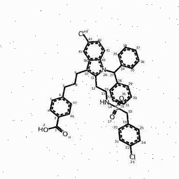 O=C(O)c1ccc(CCCc2c(CCNS(=O)(=O)Cc3ccc(Cl)cc3)n(C(c3ccccc3)c3ccccc3)c3ccc(Cl)cc23)cc1